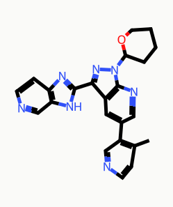 Cc1ccncc1-c1cnc2c(c1)c(-c1nc3ccncc3[nH]1)nn2C1CCCCO1